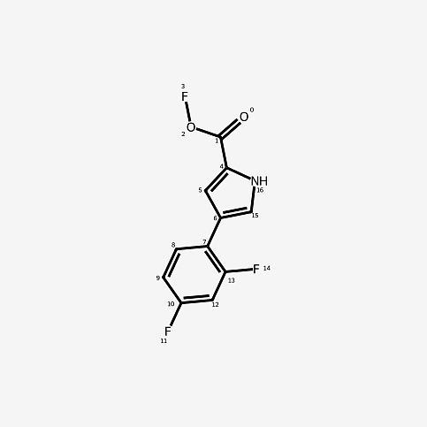 O=C(OF)c1cc(-c2ccc(F)cc2F)c[nH]1